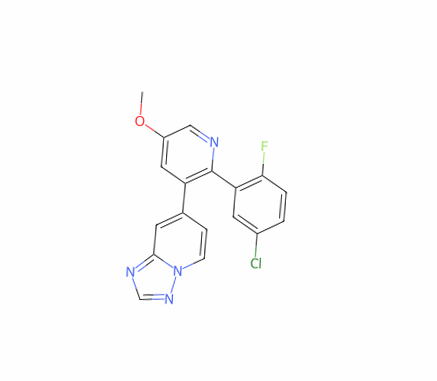 COc1cnc(-c2cc(Cl)ccc2F)c(-c2ccn3ncnc3c2)c1